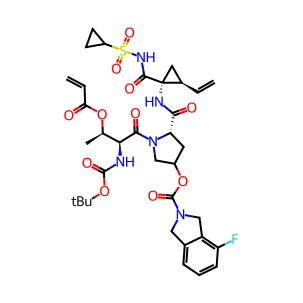 C=CC(=O)O[C@H](C)[C@H](NC(=O)OC(C)(C)C)C(=O)N1CC(OC(=O)N2Cc3cccc(F)c3C2)C[C@H]1C(=O)N[C@]1(C(=O)NS(=O)(=O)C2CC2)C[C@H]1C=C